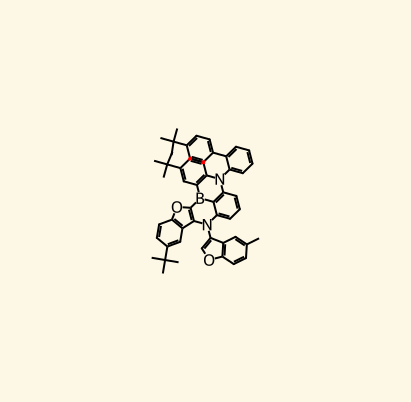 Cc1ccc2occ(N3c4cccc5c4B(c4cc(C(C)(C)C)ccc4N5c4ccccc4-c4ccc(C(C)(C)C)cc4)c4oc5ccc(C(C)(C)C)cc5c43)c2c1